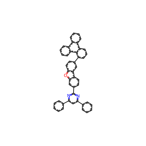 c1ccc(-c2cc(-c3ccccc3)nc(-c3ccc4c(c3)oc3ccc(-c5cccc6c7ccccc7c7ccccc7c56)cc34)n2)cc1